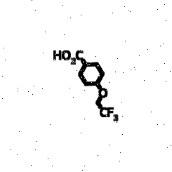 O=C(O)C1CCC(OCC(F)(F)F)CC1